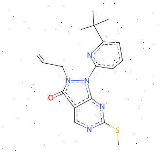 C=CCn1c(=O)c2cnc(SC)nc2n1-c1cccc(C(C)(C)C)n1